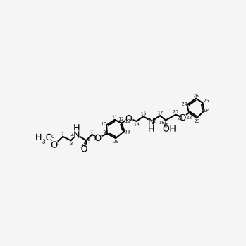 COCCNC(=O)COc1ccc(OCCNC[C@H](O)COc2ccccc2)cc1